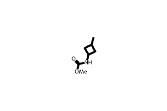 COC(=O)NC1CC(C)C1